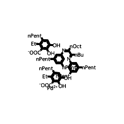 CCCCCCCCC(=Nc1cc(CCCCC)cc(CCCCC)c1)C(CCCC)=Nc1cc(CCCCC)cc(CCCCC)c1.CCCCCc1cc(O)c(O)c(C(=O)[O-])c1CC.CCCCCc1cc(O)c(O)c(C(=O)[O-])c1CC.[Pd+2]